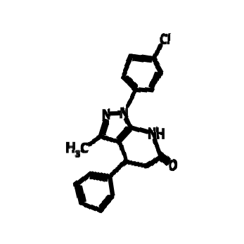 Cc1nn(-c2ccc(Cl)cc2)c2c1C(c1ccccc1)CC(=O)N2